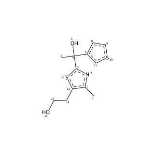 Cc1nc(C(C)(O)c2ccsc2)sc1CCO